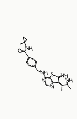 CC(=N)/C(C)=C1\C(=N)Sc2c(NCc3ccc(C(=O)NC4(C)CC4)cc3)ncnc21